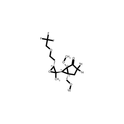 [2H]OC[C@@]12CC([2H])([2H])C(=O)[C@]1(OC)[C@@H]2C1(C)O[C@@H]1CCOCC(F)(F)F